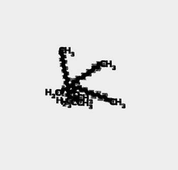 C=CCc1c(CCCCCCCCCCCC)c(CCCCCCCCCCCC)c(CCCCCCCCCCCC)c(OCC(C)(C)C)c1CC=C